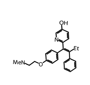 CCC(=C(c1ccc(OCCNC)cc1)c1ccc(O)cn1)c1ccccc1